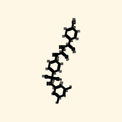 Cc1cc(C)nc(NS(=O)(=O)c2ccc(NC(=O)NC(=O)c3ccc(Cl)cc3)cc2)n1